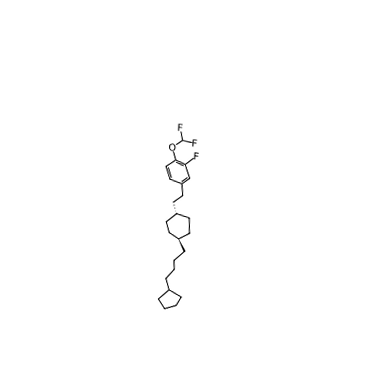 Fc1cc(CC[C@H]2CC[C@H](CCCCC3CCCC3)CC2)ccc1OC(F)F